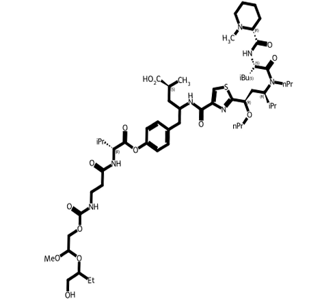 CCCO[C@H](C[C@H](C(C)C)N(CCC)C(=O)[C@@H](NC(=O)[C@H]1CCCCN1C)[C@@H](C)CC)c1nc(C(=O)NC(Cc2ccc(OC(=O)[C@H](NC(=O)CCNC(=O)OCC(OC)OC(CC)CO)C(C)C)cc2)C[C@H](C)C(=O)O)cs1